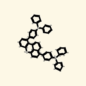 c1ccc(N(c2ccccc2)c2ccc(-c3cccc4c3-c3cccc5c(-c6ccc(N(c7ccccc7)c7ccccc7)cc6)ccc(c35)O4)cc2)cc1